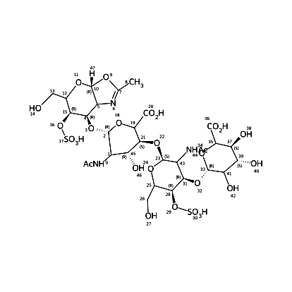 CC(=O)NC1[C@H](O[C@@H]2C3N=C(C)O[C@H]3OC(CO)[C@@H]2OS(=O)(=O)O)OC(C(=O)O)[C@@H](O[C@@H]2OC(CO)[C@H](OS(=O)(=O)O)[C@H](O[C@@H]3OC(C(=O)O)[C@@H](O)[C@H](O)C3O)C2NC(C)=O)[C@@H]1O